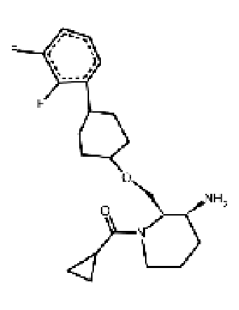 N[C@H]1CCCN(C(=O)C2CC2)[C@H]1COC1CCC(c2cccc(F)c2F)CC1